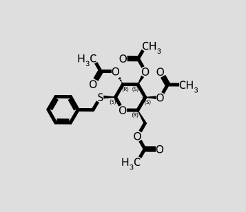 CC(=O)OC[C@H]1O[C@@H](SCc2ccccc2)[C@H](OC(C)=O)[C@@H](OC(C)=O)[C@H]1OC(C)=O